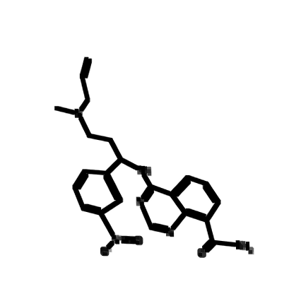 C=CCN(C)CCC(Nc1ncnc2c(C(N)=O)cccc12)c1cccc([N+](=O)[O-])c1